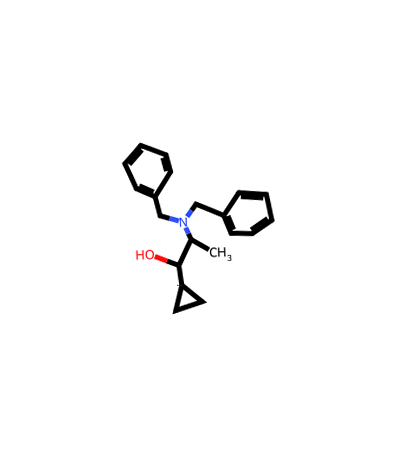 CC(C(O)[C]1CC1)N(Cc1ccccc1)Cc1ccccc1